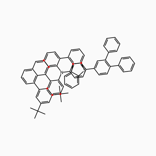 CC(C)(C)c1cc(-c2cccc3cccc(-c4ccccc4N(c4ccc(-c5ccc(-c6ccccc6)c(-c6ccccc6)c5)cc4)c4ccccc4-c4cccc5sc6ccccc6c45)c23)cc(C(C)(C)C)c1